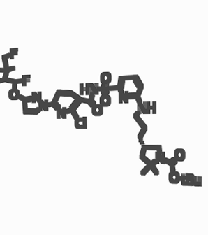 CC(C)(C)OC(=O)N1C[C@@H](CCCNc2cccc(S(=O)(=O)NC(=O)c3ccc(-n4ccc(OC(F)C(F)C(C)(C)CF)n4)nc3Cl)n2)CC1(C)C